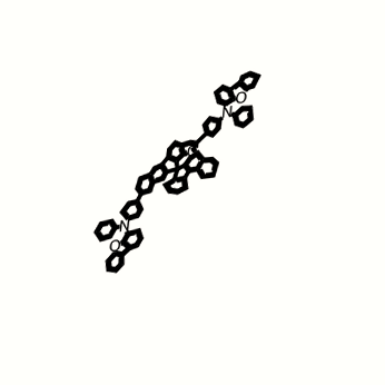 c1ccc(N(c2ccc(-c3ccc4cc5c(cc4c3)C3(c4ccccc4-c4c3ccc3ccccc43)c3c-5ccc4cc(-c5ccc(N(c6ccccc6)c6cccc7c6oc6ccccc67)cc5)ccc34)cc2)c2cccc3c2oc2ccccc23)cc1